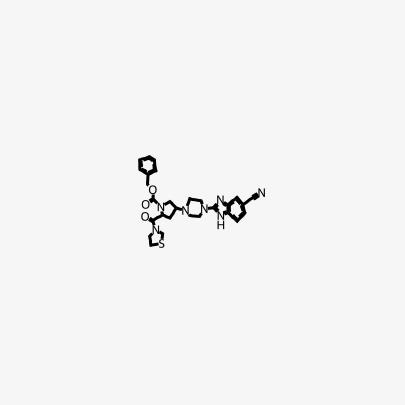 N#Cc1ccc2[nH]c(N3CCN(C4CC(C(=O)N5CCSC5)N(C(=O)OCc5ccccc5)C4)CC3)nc2c1